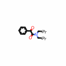 CC(C)CN(CC(C)C)C(=O)C(=O)c1ccccc1